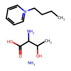 CC(O)C(N)C(=O)O.CCCC[n+]1ccccc1.N